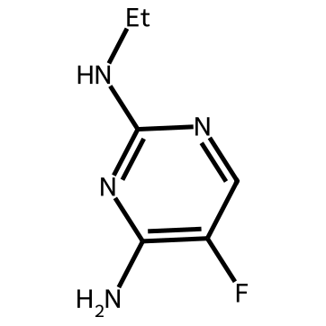 CCNc1ncc(F)c(N)n1